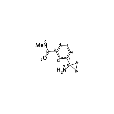 CNC(=O)c1cccc(C2(N)CC2)c1